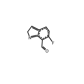 O=Cc1c(F)ccc2c1=NCC=2